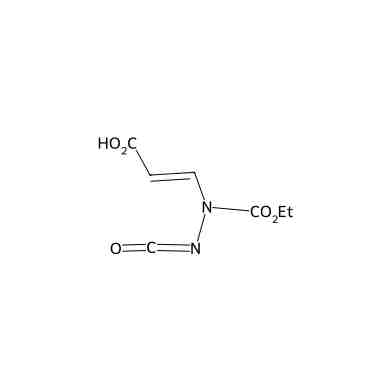 CCOC(=O)N(C=CC(=O)O)N=C=O